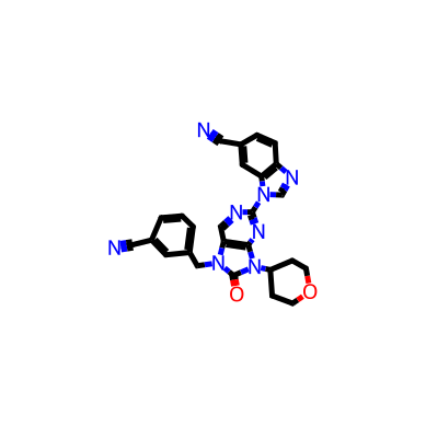 N#Cc1cccc(Cn2c(=O)n(C3CCOCC3)c3nc(-n4cnc5ccc(C#N)cc54)ncc32)c1